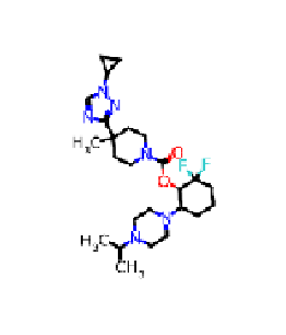 CC(C)N1CCN(C2CCCC(F)(F)[C@@H]2OC(=O)N2CCC(C)(c3ncn(C4CC4)n3)CC2)CC1